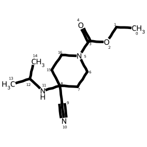 CCOC(=O)N1CCC(C#N)(NC(C)C)CC1